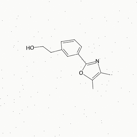 [CH2]c1nc(-c2cccc(CCO)c2)oc1C